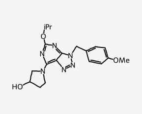 COc1ccc(Cn2nnc3c(N4CCC(O)C4)nc(OC(C)C)nc32)cc1